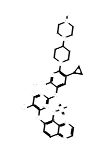 COc1nc(N2CCC(N3CCN(C)CC3)CC2)c(C2CC2)cc1Nc1ncc(Br)c(Nc2ccc3nccnc3c2NS(C)(=O)=O)n1